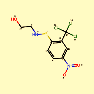 O=[N+]([O-])c1ccc(SNCCO)c(C(Cl)(Cl)Cl)c1